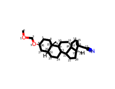 COCO[C@@H]1CC[C@]2(C)C3CC[C@]45CCC=C(C#N)[C@H]4CCC5C3CC[C@H]2C1